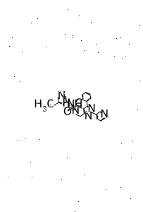 CCc1cncc(NC(=O)N2CCc3nc(-c4cccnc4)nc(-c4ccccc4C)c3C2)c1